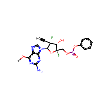 C#C[C@]1(F)[C@H](n2cnc3c(OCC)nc(N)nc32)O[C@](F)(CO[PH](=O)Oc2ccccc2)[C@H]1O